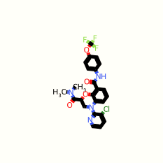 CN(C)C(=O)C1CN(c2ncccc2Cl)c2cccc(C(=O)Nc3ccc(OC(F)(F)F)cc3)c2O1